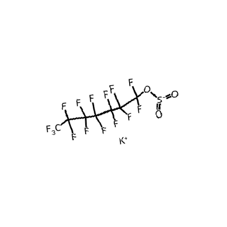 O=[S-](=O)OC(F)(F)C(F)(F)C(F)(F)C(F)(F)C(F)(F)C(F)(F)C(F)(F)F.[K+]